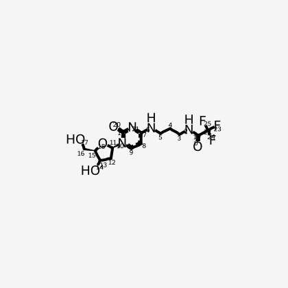 O=C(NCCCNc1ccn([C@H]2CC(O)[C@@H](CO)O2)c(=O)n1)C(F)(F)F